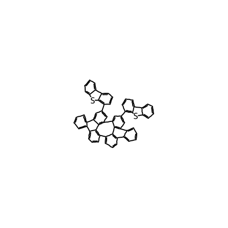 c1ccc2c(c1)sc1c(-c3cc4c5ccccc5c5cccc6c7cccc8c9ccccc9c9cc(-c%10cccc%11c%10sc%10ccccc%10%11)cc(c(c3)c4c56)c9c87)cccc12